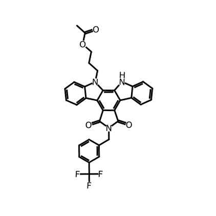 CC(=O)OCCCn1c2ccccc2c2c3c(c4c5ccccc5[nH]c4c21)C(=O)N(Cc1cccc(C(F)(F)F)c1)C3=O